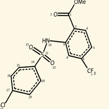 COC(=O)c1ccc(C(F)(F)F)cc1NS(=O)(=O)c1ccc(Cl)cc1